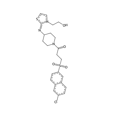 O=C(CCS(=O)(=O)c1ccc2cc(Cl)ccc2c1)N1CCC(/N=c2/sccn2CCO)CC1